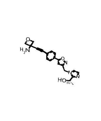 C[C@H](O)c1nccn1Cc1cc(-c2ccc(C#CC3(N)COC3)cc2)on1